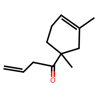 C=CCC(=O)C1(C)CCC=C(C)C1